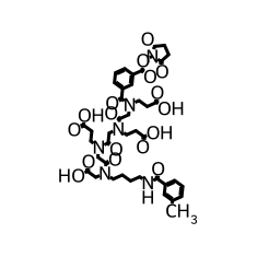 Cc1cccc(C(=O)NCCCCN(CC(=O)O)C(=O)CN(CCC(=O)O)C(=O)CN(CCC(=O)O)C(=O)CN(CCC(=O)O)C(=O)c2cccc(C(=O)ON3C(=O)CCC3=O)c2)c1